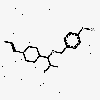 C/C=C/C1CCC(C(OCc2ccc(OC(F)(F)F)cc2)C(F)F)CC1